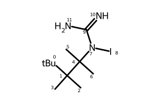 CC(C)(C)C(C)(C)C(C)(C)N(I)C(=N)N